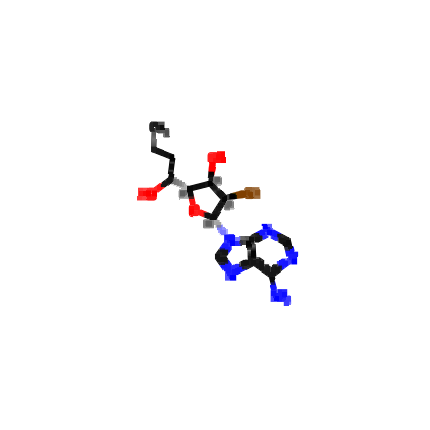 CCCC(O)[C@H]1O[C@@H](n2cnc3c(N)ncnc32)[C@H](S)[C@@H]1O